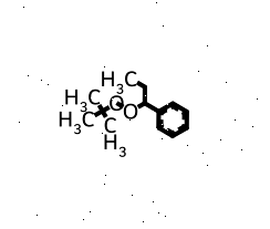 CCC(OOC(C)(C)C)c1ccccc1